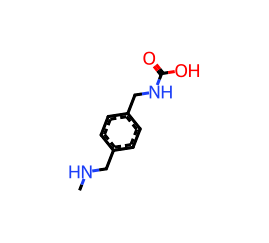 CNCc1ccc(CNC(=O)O)cc1